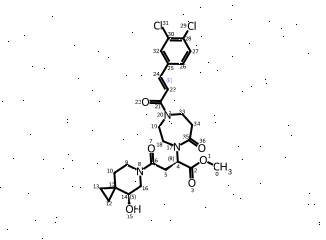 COC(=O)[C@@H](CC(=O)N1CCC2(CC2)[C@H](O)C1)N1CCN(C(=O)/C=C/c2ccc(Cl)c(Cl)c2)CCC1=O